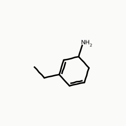 CCC1=CC(N)CC=C1